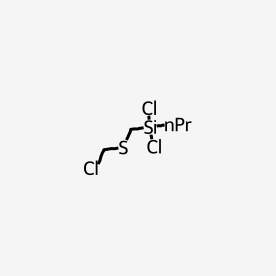 CCC[Si](Cl)(Cl)CSCCl